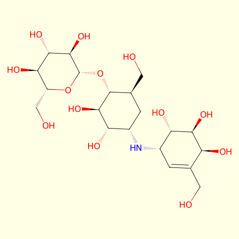 OCC1=C[C@H](N[C@H]2C[C@H](CO)[C@@H](O[C@@H]3O[C@H](CO)[C@@H](O)[C@H](O)[C@H]3O)[C@H](O)[C@H]2O)[C@H](O)[C@@H](O)[C@H]1O